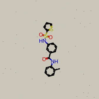 Cc1ccccc1NC(=O)c1cccc(NS(=O)(=O)c2cccs2)c1